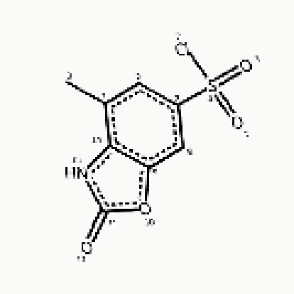 Cc1cc(S(=O)(=O)Cl)cc2oc(=O)[nH]c12